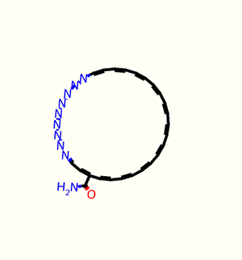 NC(=O)C1=CC=NN=NN=NN=NN=NC=CC=CC=CC=CC=CC=CC=CC=CC=CC=C1